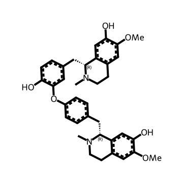 COc1cc2c(cc1O)[C@@H](Cc1ccc(Oc3cc(C[C@@H]4c5cc(O)c(OC)cc5CCN4C)ccc3O)cc1)N(C)CC2